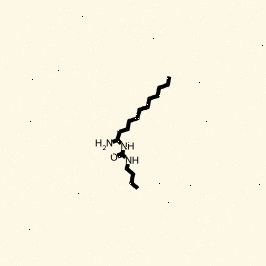 CCCCCCCCCCCC(N)NC(=O)NCCCC